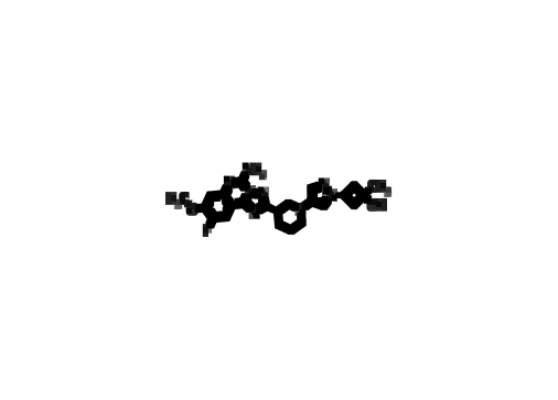 COc1cc2nc(N)n3nc([C@@H]4CCCN(c5cnn([C@H]6C[C@@](C)(O)C6)c5)C4)nc3c2cc1F